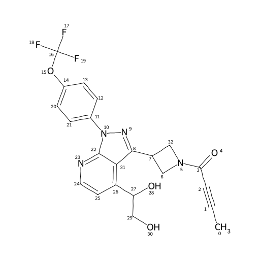 CC#CC(=O)N1CC(c2nn(-c3ccc(OC(F)(F)F)cc3)c3nccc(C(O)CO)c23)C1